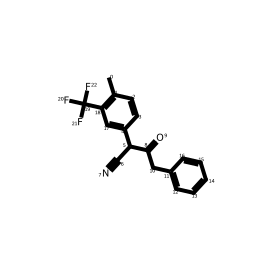 Cc1ccc(C(C#N)C(=O)Cc2ccccc2)cc1C(F)(F)F